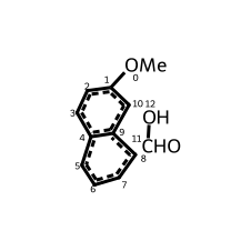 COc1ccc2ccccc2c1.O=CO